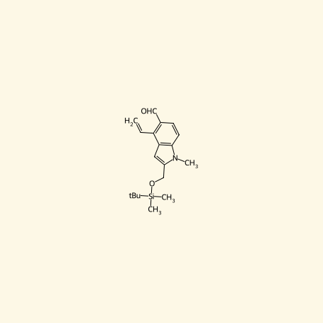 C=Cc1c(C=O)ccc2c1cc(CO[Si](C)(C)C(C)(C)C)n2C